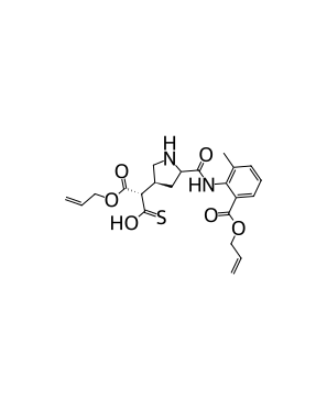 C=CCOC(=O)c1cccc(C)c1NC(=O)C1C[C@@H]([C@@H](C(=O)OCC=C)C(O)=S)CN1